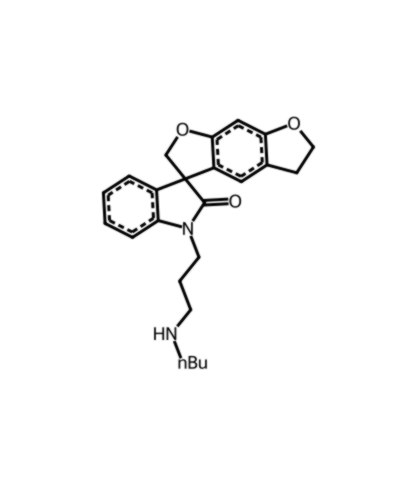 CCCCNCCCN1C(=O)C2(COc3cc4c(cc32)CCO4)c2ccccc21